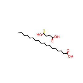 CCCCCCCCCCCCCCCCCC(=O)O.O=C(O)CCC(O)=S